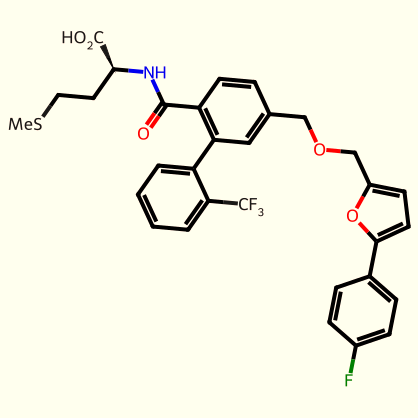 CSCC[C@H](NC(=O)c1ccc(COCc2ccc(-c3ccc(F)cc3)o2)cc1-c1ccccc1C(F)(F)F)C(=O)O